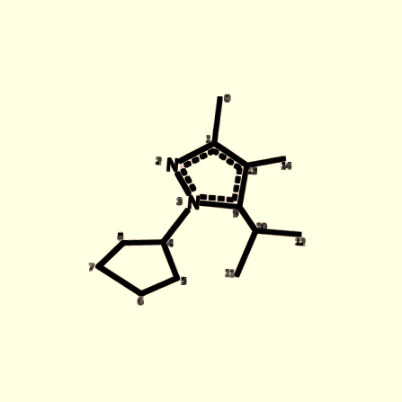 Cc1nn(C2CCCC2)c(C(C)C)c1C